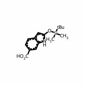 CC(C)(C)[Si](C)(C)Oc1cc2ccc(C(=O)O)cc2[nH]1